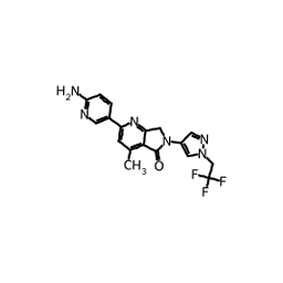 Cc1cc(-c2ccc(N)nc2)nc2c1C(=O)N(c1cnn(CC(F)(F)F)c1)C2